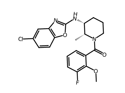 COc1c(F)cccc1C(=O)N1CCC[C@@H](Nc2nc3cc(Cl)ccc3o2)[C@H]1C